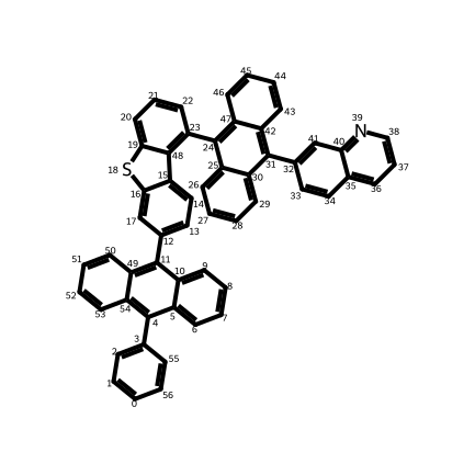 c1ccc(-c2c3ccccc3c(-c3ccc4c(c3)sc3cccc(-c5c6ccccc6c(-c6ccc7cccnc7c6)c6ccccc56)c34)c3ccccc23)cc1